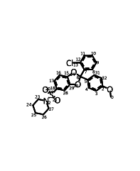 COc1ccc(C2(c3ccccc3Cl)Oc3ccc(S(=O)(=O)N4CCCCC4)cc3O2)cc1